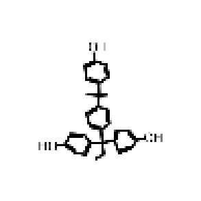 CCC(c1ccc(O)cc1)(c1ccc(O)cc1)c1ccc(C(C)(C)c2ccc(O)cc2)cc1